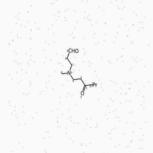 CC(C)C(=O)CCN(C)CCC=O